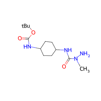 CN(N)C(=O)NC1CCC(NC(=O)OC(C)(C)C)CC1